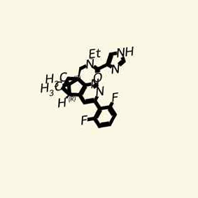 CCN(C[C@@]12CC[C@@H](c3cc(-c4c(F)cccc4F)nnc31)C2(C)C)C(=O)c1c[nH]cn1